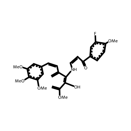 C=C(OC)/C(O)=C(/N/C=C\C(=O)c1ccc(OC)c(F)c1)C(=C)/C=C\c1cc(OC)c(OC)c(OC)c1